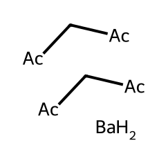 CC(=O)CC(C)=O.CC(=O)CC(C)=O.[BaH2]